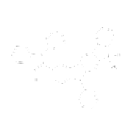 C[n+]1c(-c2ccc3c(c2)c2cc4c(cc2n3-c2ccccc2)C(C)(C)c2ccccc2-4)n(-c2ccccc2)c2ccccc21